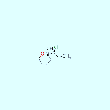 CCC(Cl)[Si]1(C)CCCCO1